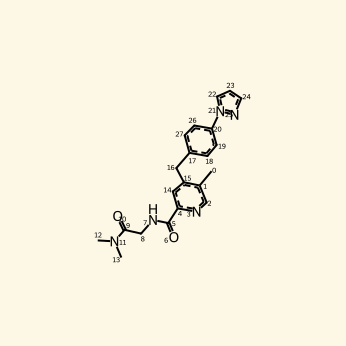 Cc1cnc(C(=O)NCC(=O)N(C)C)cc1Cc1ccc(-n2cccn2)cc1